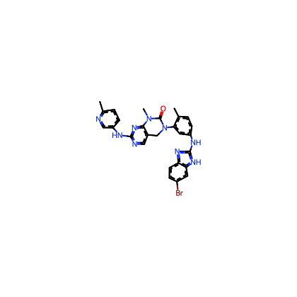 Cc1ccc(Nc2ncc3c(n2)N(C)C(=O)N(c2cc(Nc4nc5ccc(Br)cc5[nH]4)ccc2C)C3)cn1